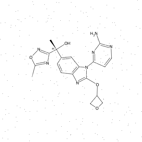 Cc1nc([C@](C)(O)c2ccc3nc(OC4COC4)n(-c4ccnc(N)n4)c3c2)no1